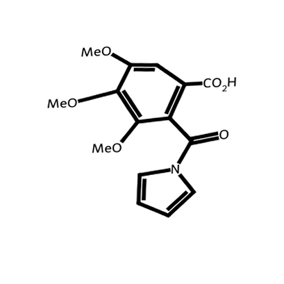 COc1cc(C(=O)O)c(C(=O)n2cccc2)c(OC)c1OC